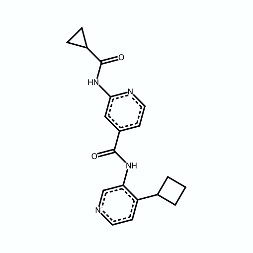 O=C(Nc1cnccc1C1CCC1)c1ccnc(NC(=O)C2CC2)c1